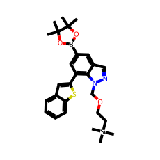 CC1(C)OB(c2cc(-c3cc4ccccc4s3)c3c(cnn3COCC[Si](C)(C)C)c2)OC1(C)C